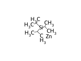 CC(C)[Si](C(C)C)C(C)C.[Zn]